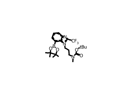 CN(CCCn1c(C(F)(F)F)nc2cccc(B3OC(C)(C)C(C)(C)O3)c21)C(=O)OC(C)(C)C